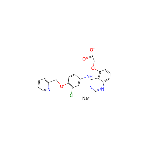 O=C([O-])COc1cccc2ncnc(Nc3ccc(OCc4ccccn4)c(Cl)c3)c12.[Na+]